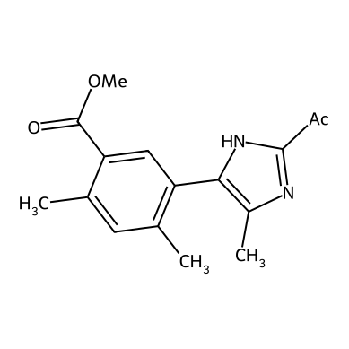 COC(=O)c1cc(-c2[nH]c(C(C)=O)nc2C)c(C)cc1C